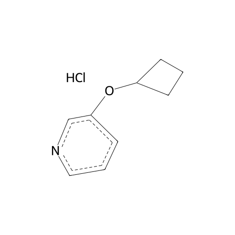 Cl.c1cncc(OC2CCC2)c1